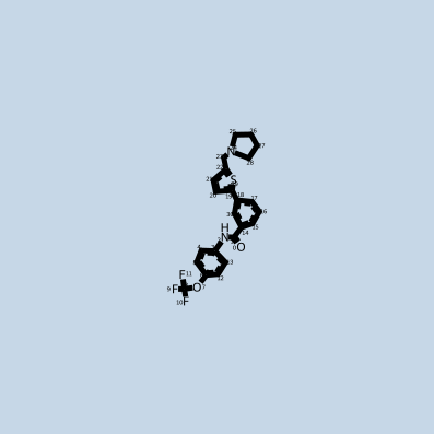 O=C(Nc1ccc(OC(F)(F)F)cc1)c1cccc(-c2ccc(CN3CCCC3)s2)c1